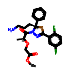 C[C@H](OCC(=O)OC(C)(C)C)C(=O)N1N=C(c2cc(F)ccc2F)S[C@@]1(CCCN)c1ccccc1